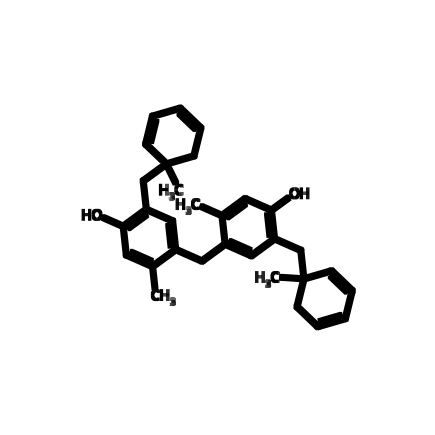 Cc1cc(O)c(CC2(C)C=CC=CC2)cc1Cc1cc(CC2(C)C=CC=CC2)c(O)cc1C